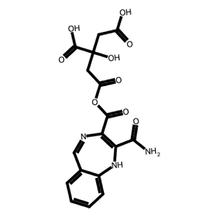 NC(=O)C1=C(C(=O)OC(=O)CC(O)(CC(=O)O)C(=O)O)N=Cc2ccccc2N1